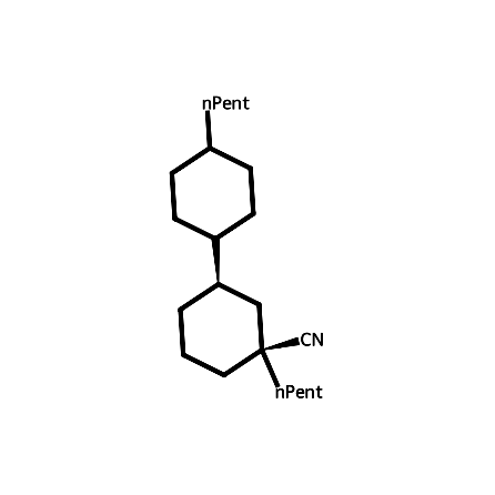 CCCCCC1CCC([C@@H]2CCC[C@@](C#N)(CCCCC)C2)CC1